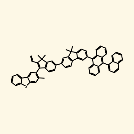 C=CC1=C(c2cc3c(cc2C)sc2ccccc23)c2ccc(-c3ccc4c(c3)C(C)(C)c3ccc(-c5c6ccccc6c(-c6cccc7ccccc67)c6ccccc56)cc3-4)cc2C1(C)C